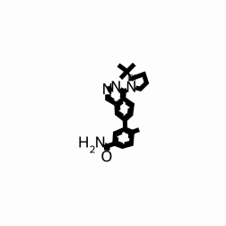 Cc1ccc(C(N)=O)cc1-c1ccc2c(N3CCC[C@@H]3C(C)(C)C)nncc2c1